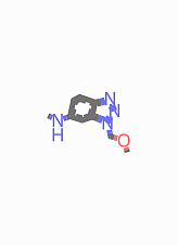 CNc1ccc2nnn(COC)c2c1